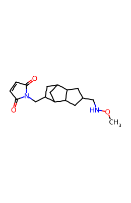 CONCC1CC2C3CC(CN4C(=O)C=CC4=O)C(C3)C2C1